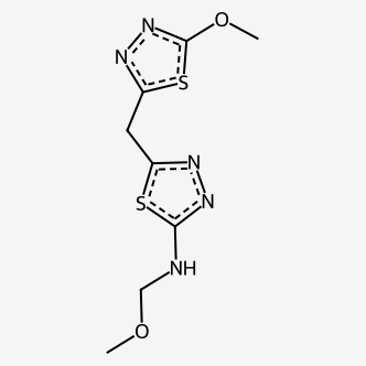 COCNc1nnc(Cc2nnc(OC)s2)s1